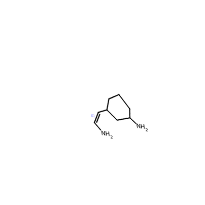 N/C=C\C1CCCC(N)C1